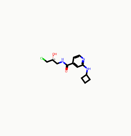 O=C(NC[C@@H](O)CCl)c1ccnc(NC2CCC2)c1